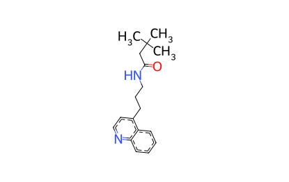 CC(C)(C)CC(=O)NCCCc1ccnc2ccccc12